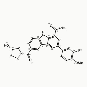 COc1ccc(-c2cc(C(N)=O)c3[nH]c4ccc(C(=O)N5CC[C@H](O)C5)cc4c3c2)cc1F